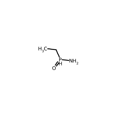 CC[PH](N)=O